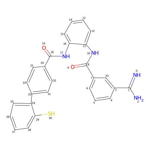 N=C(N)c1cccc(C(=O)Nc2ccccc2NC(=O)c2ccc(-c3ccccc3S)cc2)c1